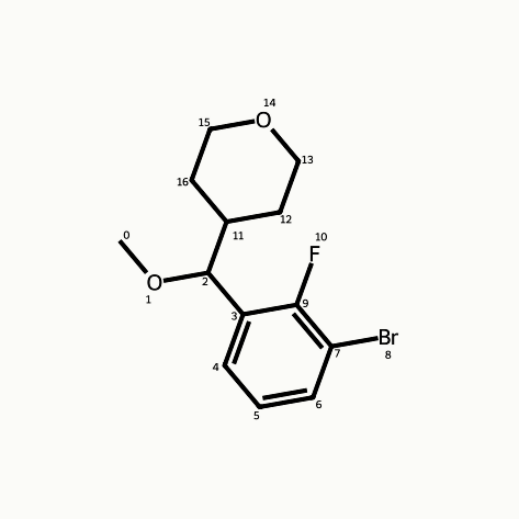 COC(c1cccc(Br)c1F)C1CCOCC1